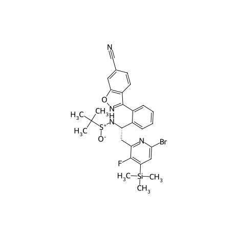 CC(C)(C)[S+]([O-])N[C@@H](Cc1nc(Br)cc([Si](C)(C)C)c1F)c1ccccc1-c1noc2cc(C#N)ccc12